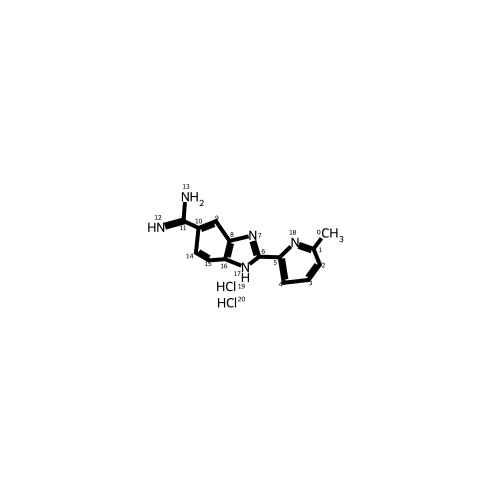 Cc1cccc(-c2nc3cc(C(=N)N)ccc3[nH]2)n1.Cl.Cl